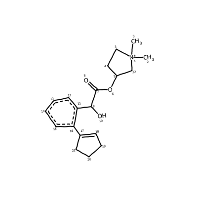 C[N+]1(C)CCC(OC(=O)C(O)c2ccccc2C2=CCCC2)C1